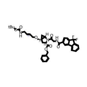 CC(C)(C)OC(=O)NC/C=C/COC[C@@]12C[C@@H]1N(C(=O)CNC(=O)c1ccc3c(c1)-c1ccccc1C3(F)F)[C@H](C(=O)OCc1ccccc1)C2